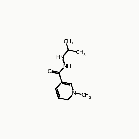 CC(C)NNC(=O)C1=CN(C)CC=C1